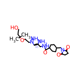 CC(C)(CCO)OCCN(N)/C=C(\N)CNC(=O)C1CCC(CN2C(=O)CCC2=O)CC1